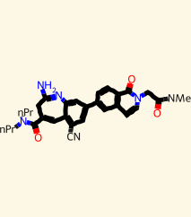 CCCN(CCC)C(=O)C1=Cc2c(C#N)cc(-c3ccc4c(=O)n(CC(=O)NC)ccc4c3)cc2N=C(N)C1